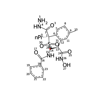 CCC[C@](C(=O)NN)(c1ccc(C)cc1[C@H](CNC(=O)c1ccccc1)C(=O)NO)S(C)(=O)=O